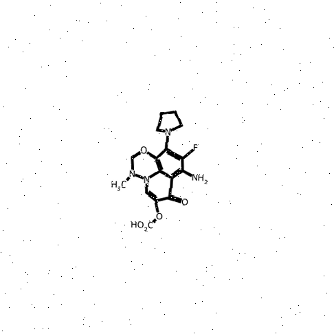 CN1COc2c(N3CCCC3)c(F)c(N)c3c(=O)c(OC(=O)O)cn1c23